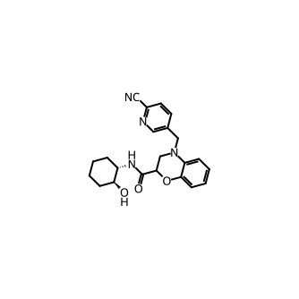 N#Cc1ccc(CN2CC(C(=O)N[C@H]3CCCC[C@@H]3O)Oc3ccccc32)cn1